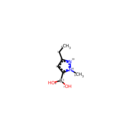 CCc1cc(B(O)O)n(C)n1